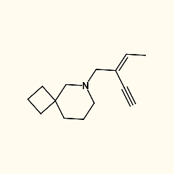 C#CC(=CC)CN1CCCC2(CCC2)C1